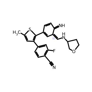 Cc1cc(-c2ccc(C#N)c(F)c2)c(C2=C/C(=C/NC3CCOC3)C(=N)C=C2)s1